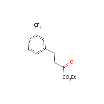 CCOC(=O)C(=O)CCc1cccc(C(F)(F)F)c1